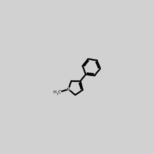 CN1CC=C(c2ccccc2)C1